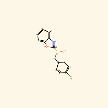 [O-][S+](Cc1ccc(Cl)cc1)c1nc2c(F)cccc2o1